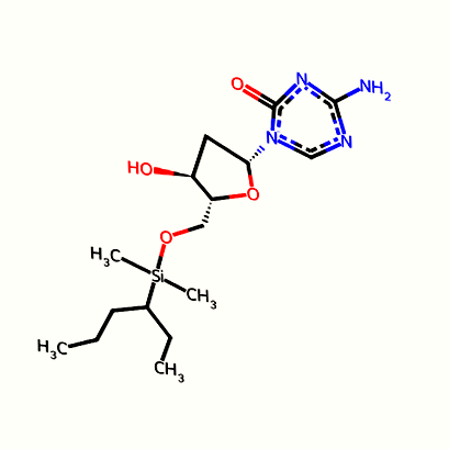 CCCC(CC)[Si](C)(C)OC[C@H]1O[C@@H](n2cnc(N)nc2=O)C[C@@H]1O